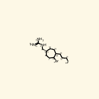 N=C(N)NC[C@@H]1CCC(Br)C(CCCF)CC1